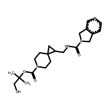 CC(C)(CO)OC(=O)N1CCC2(CC1)CC2CNC(=O)N1Cc2ccncc2C1